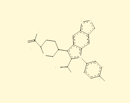 CC(C)c1c(C2CC[C@](C)(C(=O)O)OC2)c2cc3[nH]ncc3cc2n1-c1ccc(F)cc1